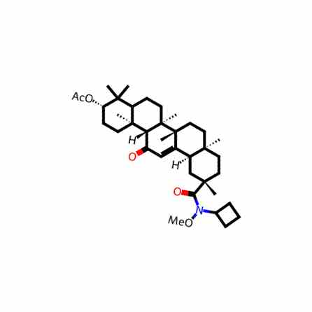 CON(C(=O)[C@@]1(C)CC[C@]2(C)CC[C@]3(C)C(=CC(=O)[C@@H]4[C@@]5(C)CC[C@H](OC(C)=O)C(C)(C)C5CC[C@]43C)[C@@H]2C1)C1CCC1